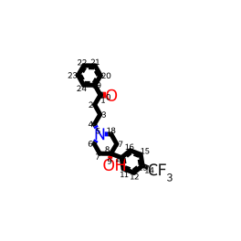 O=C(CCCN1CCC(O)(c2ccc(C(F)(F)F)cc2)CC1)c1ccccc1